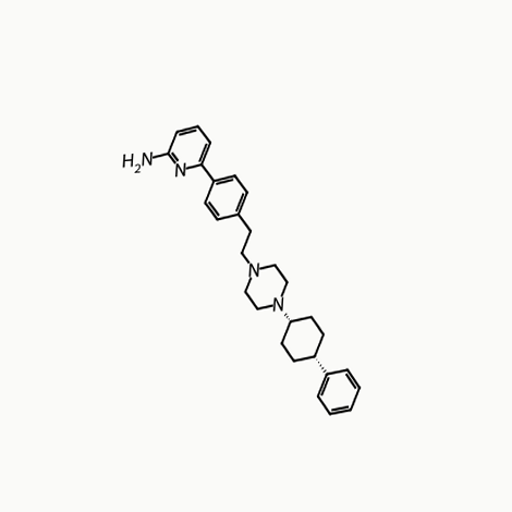 Nc1cccc(-c2ccc(CCN3CCN([C@H]4CC[C@@H](c5ccccc5)CC4)CC3)cc2)n1